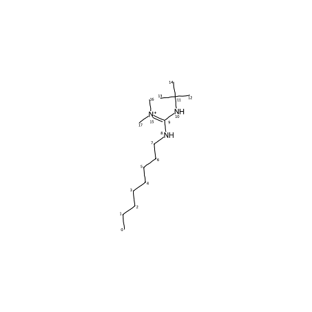 CCCCCCCCNC(NC(C)(C)C)=[N+](C)C